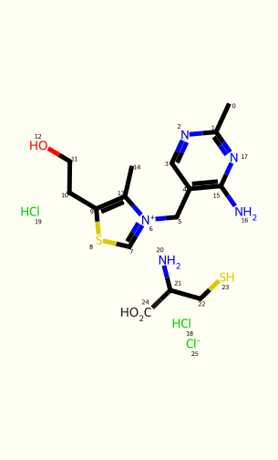 Cc1ncc(C[n+]2csc(CCO)c2C)c(N)n1.Cl.Cl.NC(CS)C(=O)O.[Cl-]